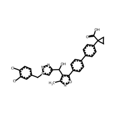 Cc1noc(-c2ccc(-c3ccc(C4(C(=O)O)CC4)cc3)cc2)c1C(O)c1cn(Cc2ccc(Cl)c(Cl)c2)nn1